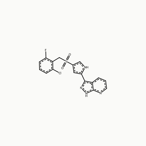 O=S(=O)(Cc1c(F)cccc1Cl)c1c[nH]c(-c2n[nH]c3ncccc23)c1